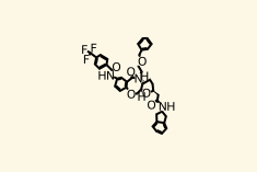 O=C(C[C@@H]1CC[C@H]2[C@H](COc3ccc(NC(=O)c4ccc(C(F)(F)F)cc4)cc3C(=O)N2CCOCc2ccccc2)O1)NC1Cc2ccccc2C1